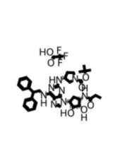 CCC(=O)N[C@H]1C[C@@H](n2cnc3c(NCC(c4ccccc4)c4ccccc4)nc(N[C@@H]4CCN(C(=O)OC(C)(C)C)C4)nc32)[C@H](O)[C@@H]1O.O=C(O)C(F)(F)F